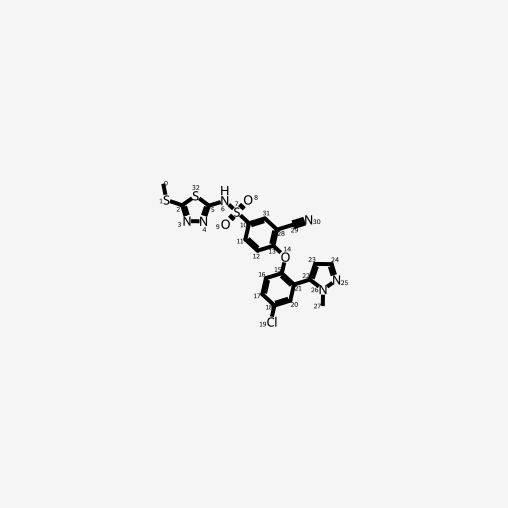 CSc1nnc(NS(=O)(=O)c2ccc(Oc3ccc(Cl)cc3-c3ccnn3C)c(C#N)c2)s1